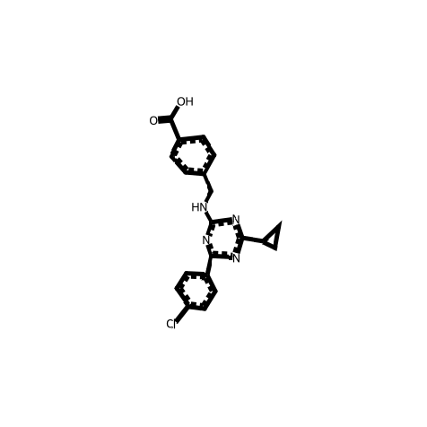 O=C(O)c1ccc(CNc2nc(-c3ccc(Cl)cc3)nc(C3CC3)n2)cc1